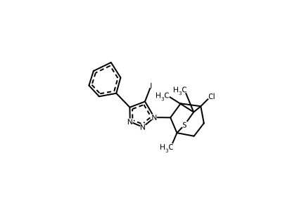 CC12CCC(Cl)(CC1n1nnc(-c3ccccc3)c1I)C(C)(C)S2